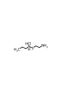 CCCNSCCN.Cl